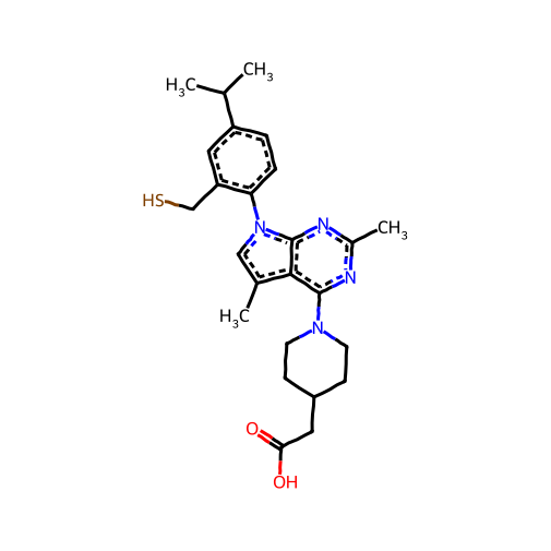 Cc1nc(N2CCC(CC(=O)O)CC2)c2c(C)cn(-c3ccc(C(C)C)cc3CS)c2n1